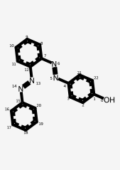 Oc1ccc(N=Nc2ccccc2N=Nc2ccccc2)cc1